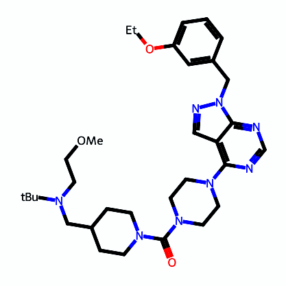 CCOc1cccc(Cn2ncc3c(N4CCN(C(=O)N5CCC(CN(CCOC)C(C)(C)C)CC5)CC4)ncnc32)c1